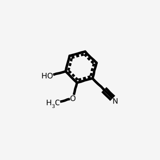 COc1c(O)cccc1C#N